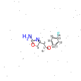 C[C@H](CC1COC(N)=N1)Oc1ccc(F)cc1